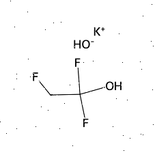 OC(F)(F)CF.[K+].[OH-]